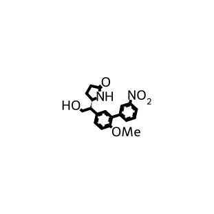 COc1ccc(C(CO)[C@@H]2CCC(=O)N2)cc1-c1cccc([N+](=O)[O-])c1